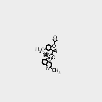 Cc1ccc(OC2COC2)c(C2(C(=O)NS(=O)(=O)c3cccc4nc(C)ccc34)CC2)c1